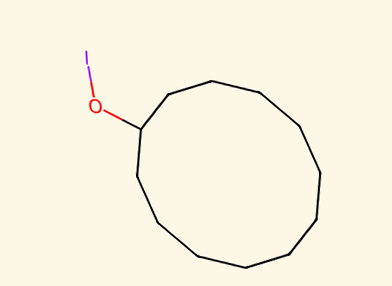 IOC1CCCCCCCCCCC1